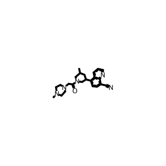 CC1CC(c2ccc(C#N)c3ncccc23)CN(C(=O)CN2CCN(C)CC2)C1